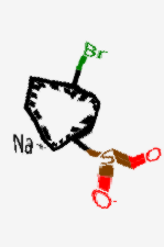 O=S([O-])c1cccc(Br)c1.[Na+]